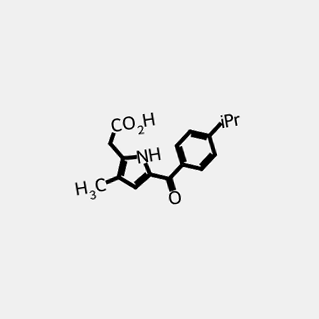 Cc1cc(C(=O)c2ccc(C(C)C)cc2)[nH]c1CC(=O)O